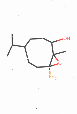 CC(C)C1CCC(O)C2(C)OC2(P)CC1